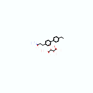 CCc1ccc(-c2ccc(CCC(N)=O)cc2)cc1.O=C(O)C(O)C(O)C(=O)O